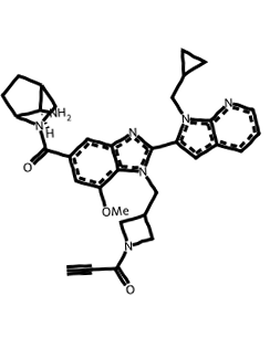 C#CC(=O)N1CC(Cn2c(-c3cc4cccnc4n3CC3CC3)nc3cc(C(=O)N4CC5CCC4[C@@H]5N)cc(OC)c32)C1